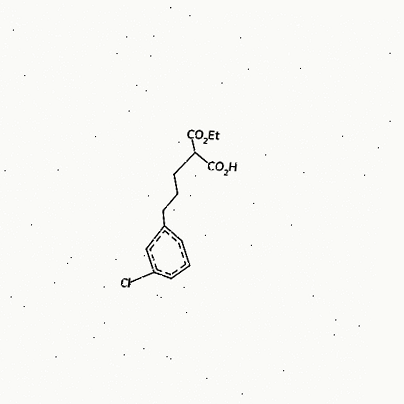 CCOC(=O)C(CCCc1cccc(Cl)c1)C(=O)O